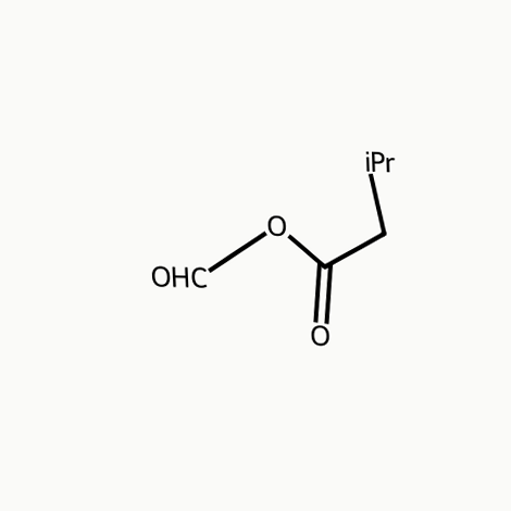 CC(C)CC(=O)OC=O